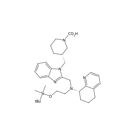 CC(C)(C)[Si](C)(C)OCCN(Cc1nc2ccccc2n1C[C@@H]1CCCN(C(=O)O)C1)[C@H]1CCCc2cccnc21